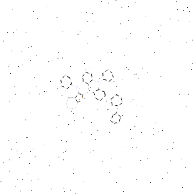 CC(C)(C)c1cc2c3c(c1)N(c1ccccc1)c1c(sc4c1CCCC4)B3c1ccc(-c3cccc4c3C(C)(C)c3ccccc3-4)cc1N2c1ccccc1